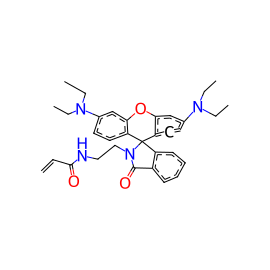 C=CC(=O)NCCN1C(=O)c2ccccc2C12c1ccc(N(CC)CC)cc1Oc1cc(N(CC)CC)ccc12